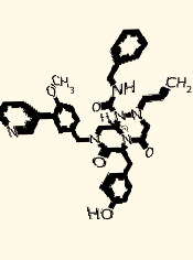 C=CCN1CC(=O)N2C(Cc3ccc(O)cc3)C(=O)N(Cc3ccc(OC)c(-c4cccnc4)c3)C[C@@H]2N1C(=O)NCc1ccccc1